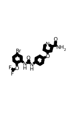 NC(=O)c1cc(Oc2ccc(NC(=O)Nc3cc(Br)ccc3OC(F)F)cc2)ccn1